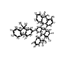 Cc1ccc2c3c1C(C)(C)c1ccccc1B3c1cc(-c3ccc4c(c3)C(C)(C)c3ccccc3-4)cc3c1N2c1ccc(C)c2c1B3c1ccccc1C2(C)C